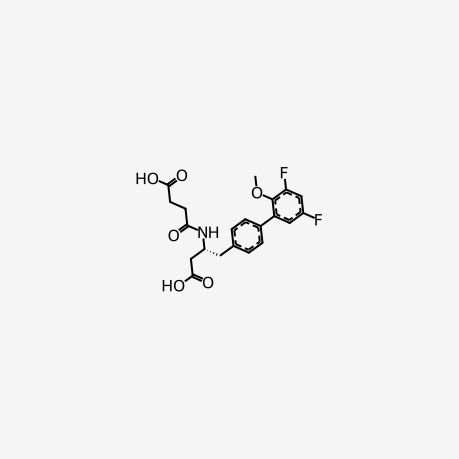 COc1c(F)cc(F)cc1-c1ccc(C[C@H](CC(=O)O)NC(=O)CCC(=O)O)cc1